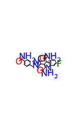 Cc1c(-c2c(C(N)=O)nc3cc(F)ccc3c2C(N)=O)c(C(F)(F)F)nn1Cc1ccc(C(N)=O)cc1